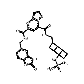 C=S(C)(=O)NC12C3C4C1C1C2C3C41CNC(=O)c1cc(C(=O)NCc2ccc3oc(=O)[nH]c3c2)nc2ccnn12